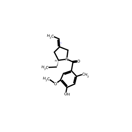 C/C=C1\C[C@@H](CC)N(C(=O)c2cc(OC)c(O)cc2C)C1